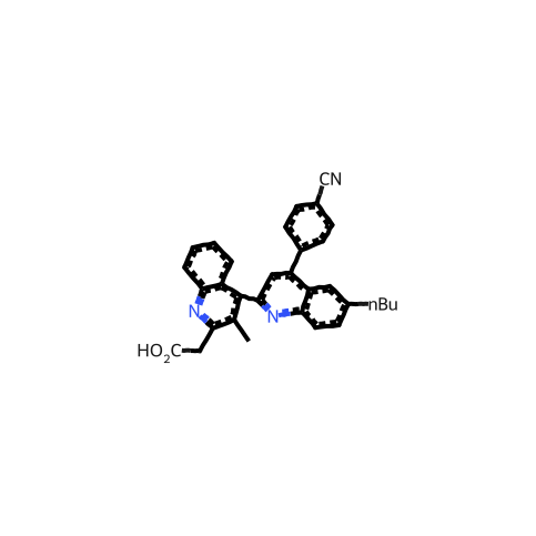 CCCCc1ccc2nc(-c3c(C)c(CC(=O)O)nc4ccccc34)cc(-c3ccc(C#N)cc3)c2c1